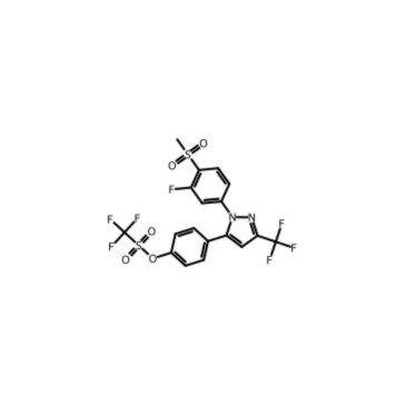 CS(=O)(=O)c1ccc(-n2nc(C(F)(F)F)cc2-c2ccc(OS(=O)(=O)C(F)(F)F)cc2)cc1F